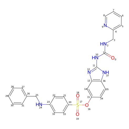 O=C(NCc1ccccn1)Nc1nc2cc(OS(=O)(=O)c3ccc(NCc4ccccc4)cc3)ccc2[nH]1